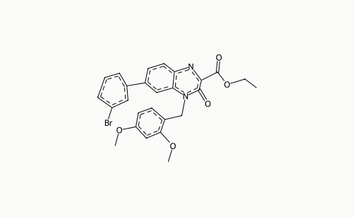 CCOC(=O)c1nc2ccc(-c3cccc(Br)c3)cc2n(Cc2ccc(OC)cc2OC)c1=O